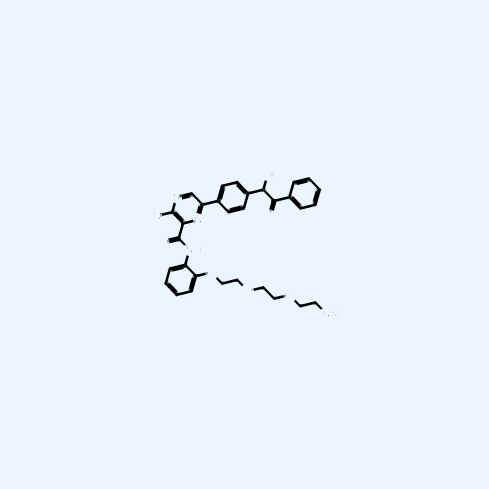 CNCCOCCOCCOc1ccccc1NC(=O)c1nc(-c2ccc(C(O)C(=O)c3ccccc3)cc2)cnc1N